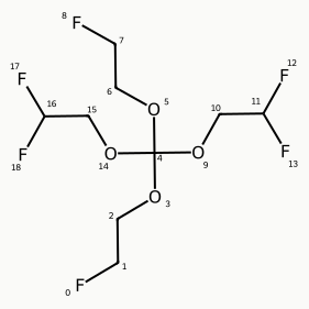 FCCOC(OCCF)(OCC(F)F)OCC(F)F